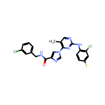 Cc1cnc(Nc2ccc(F)cc2Cl)nc1-n1cnc(C(=O)NCc2cccc(Cl)c2)c1